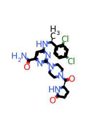 C[C@@H](Nc1cc(C(N)=O)nc(N2CCN(C(=O)[C@H]3CCC(=O)N3)CC2)n1)c1ccc(Cl)cc1Cl